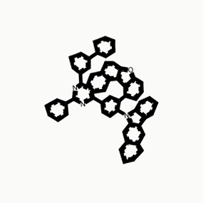 c1ccc(-c2cccc(-c3nc(-c4ccccc4)nc(-c4ccc(-n5c6ccccc6c6cc7ccccc7cc65)c(-c5cccc6oc7ccc8ccccc8c7c56)c4)n3)c2)cc1